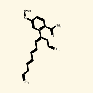 C=CCC=CC=CC=C(CC=C)c1cc(OCCCCC)ccc1C(N)=O